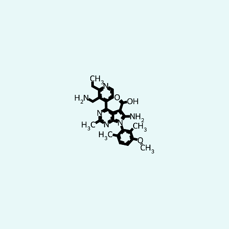 CCc1nccc(-c2nc(C)nc3c2c(C(=O)O)c(N)n3-c2c(C)ccc(OC)c2C)c1CN